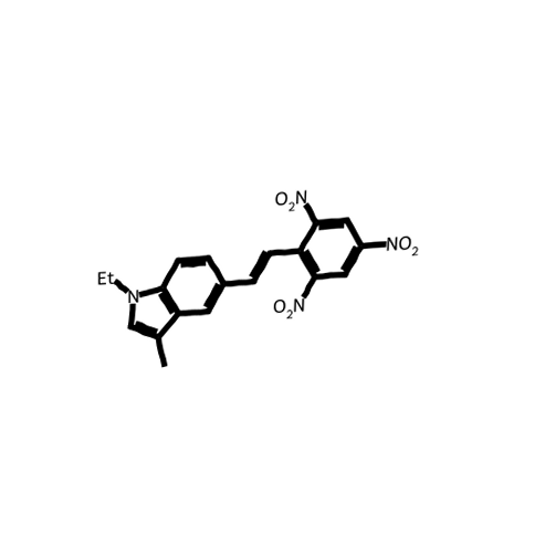 CCn1cc(C)c2cc(/C=C/c3c([N+](=O)[O-])cc([N+](=O)[O-])cc3[N+](=O)[O-])ccc21